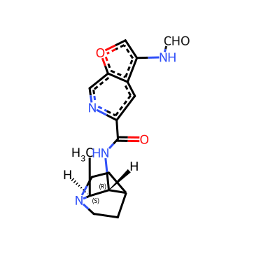 C[C@H]1[C@H](NC(=O)c2cc3c(NC=O)coc3cn2)C2CCN1CC2